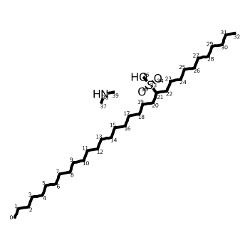 CCCCCCCCCCCCCCCCCCCCCC(CCCCCCCCCCC)S(=O)(=O)O.CNC